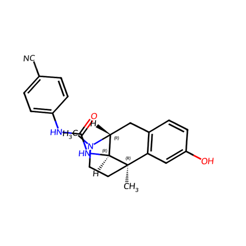 CN1CC[C@]2(C)c3cc(O)ccc3C[C@@H]1[C@@H]2NC(=O)Nc1ccc(C#N)cc1